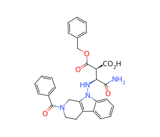 NC(=O)[C@@H](Nn1c2c(c3ccccc31)CCN(C(=O)c1ccccc1)C2)[C@H](C(=O)O)C(=O)OCc1ccccc1